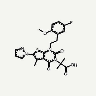 COc1ccc(F)cc1CCn1c(=O)n(C(C)(C)C(=O)O)c(=O)c2c(C)c(-n3cccn3)sc21